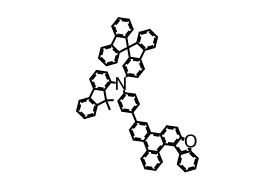 CC1(C)c2ccccc2-c2cccc(N(c3ccc(-c4ccc5c6ccccc6c6c(ccc7oc8ccccc8c76)c5c4)cc3)c3ccc4c(c3)C3(c5ccccc5-c5ccccc53)c3ccccc3-4)c21